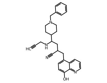 C#CCNC(CC(C#N)Cc1ccc(O)c2ncccc12)C1CCN(Cc2ccccc2)CC1